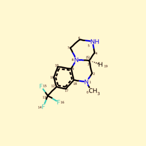 CN1C[C@@H]2CNCCN2c2ccc(C(F)(F)F)cc21